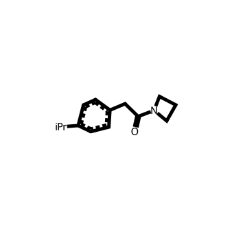 CC(C)c1ccc(CC(=O)N2CCC2)cc1